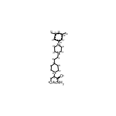 CC(=O)OCC(C(N)=O)N1CCC(CCN2CCN(c3cc(C)cc(C)c3)CC2)CC1